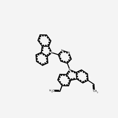 C=Cc1ccc2c(c1)c1cc(C=C)ccc1n2-c1cnnc(-n2c3ccccc3c3ccccc32)c1